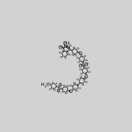 Cc1ccc(S(=O)(=O)c2ccc(Oc3ccc(-c4ccc(Oc5ccc(S(=O)(=O)c6ccc(Oc7ccc(-c8nn(C)c(=O)c9ccccc89)cc7)cc6)cc5)cc4)cc3)cc2)cc1